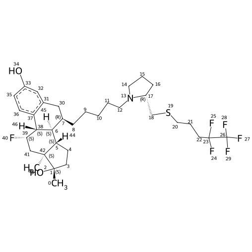 C[C@]1(O)CC[C@H]2[C@@H]3[C@H](CCCCCN4CCC[C@@H]4CSCCCC(F)(F)C(F)(F)F)Cc4cc(O)ccc4[C@H]3[C@@H](F)C[C@@]21C